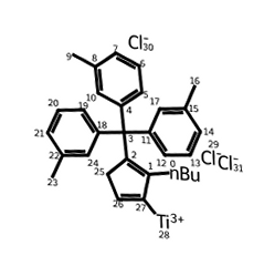 CCCCC1=C(C(c2cccc(C)c2)(c2cccc(C)c2)c2cccc(C)c2)CC=[C]1[Ti+3].[Cl-].[Cl-].[Cl-]